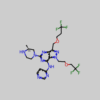 C[C@H]1CN(c2nc(Nc3ccncn3)c3c(n2)c(COCCC(F)(F)F)nn3CCOCC(F)(F)F)CCN1